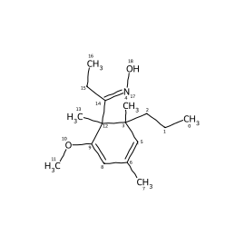 CCCC1(C)[C]=C(C)C=C(OC)C1(C)C(CC)=NO